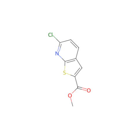 COC(=O)c1cc2ccc(Cl)nc2s1